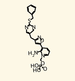 Nc1c(-c2cc(Cc3cnc(SCc4ccccc4)nc3)no2)ccc[n+]1COP(=O)(O)O